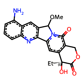 CC[C@@]1(O)C(=O)OCc2c1cc1n(c2=O)C(OC)c2cc3c(N)cccc3nc2-1